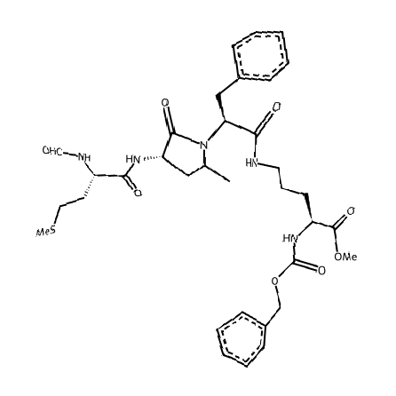 COC(=O)[C@H](CCCNC(=O)[C@H](Cc1ccccc1)N1C(=O)[C@@H](NC(=O)[C@H](CCSC)NC=O)CC1C)NC(=O)OCc1ccccc1